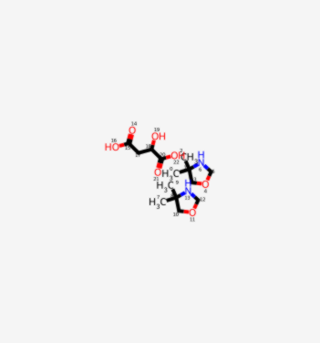 CC1(C)COCN1.CC1(C)COCN1.O=C(O)CC(O)C(=O)O